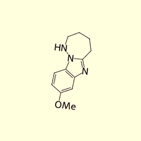 COc1ccc2c(c1)nc1n2NCCCC1